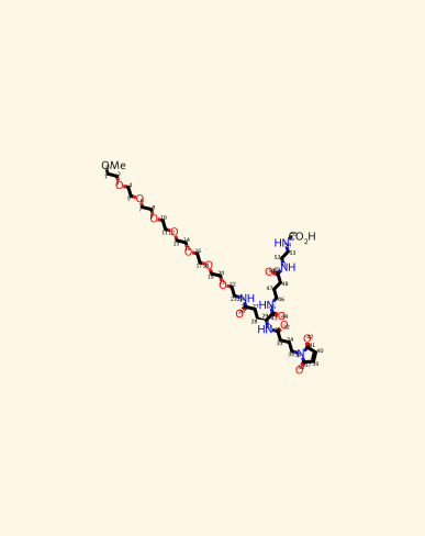 COCCOCCOCCOCCOCCOCCOCCOCCNC(=O)CC[C@H](NC(=O)CCCN1C(=O)C=CC1=O)C(=O)NCCCC(=O)NCCNC(=O)O